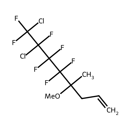 C=CCC(C)(OC)C(F)(F)C(F)(F)C(F)(Cl)C(F)(F)Cl